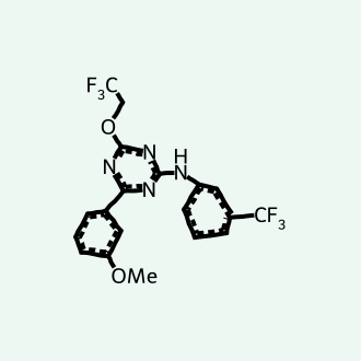 COc1cccc(-c2nc(Nc3cccc(C(F)(F)F)c3)nc(OCC(F)(F)F)n2)c1